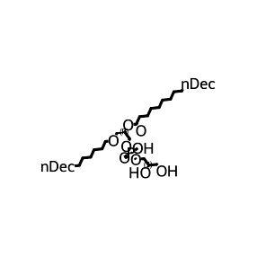 CCCCCCCCCCCCCCCCCCC(=O)O[C@H](COCCCCCCCCCCCCCCCC)COP(=O)(O)OC[C@@H](O)CO